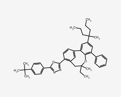 CCCC(C)(CCC)c1cc(-c2ccccc2)c2c(c1)-c1ccc(-c3nnc(-c4ccc(C(C)(C)C)cc4)o3)c(c1)CC(C)(CC)O2